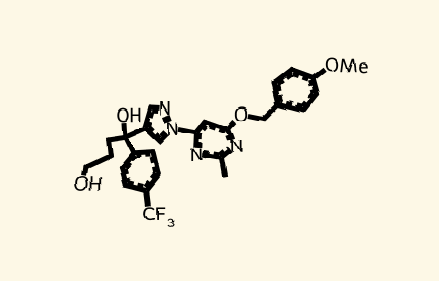 COc1ccc(COc2cc(-n3cc(C(O)(CCCO)c4ccc(C(F)(F)F)cc4)cn3)nc(C)n2)cc1